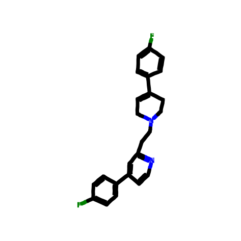 Fc1ccc(C2=CCN(CCc3cc(-c4ccc(F)cc4)ccn3)CC2)cc1